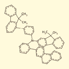 CC1(C)c2ccccc2-c2ccc(N(c3cccc(-c4cccc5c4C(C)(C)c4ccccc4-5)c3)c3ccccc3-c3ccc4c(ccc5ccccc54)c3)cc21